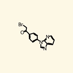 O=C(CBr)c1ccc(-n2cnc3cccnc32)cc1